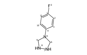 Fc1ccc(N2CNNC2)cc1